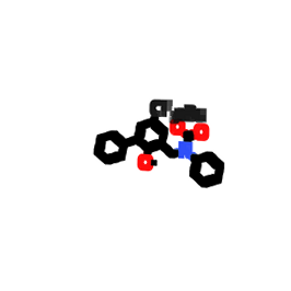 CCCCOC(=O)N(Cc1cc(C(F)(F)F)cc(-c2ccccc2)c1[O])c1ccccc1